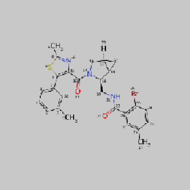 Cc1cccc(-c2sc(C)nc2C(=O)N2C[C@H]3CC3[C@H]2CNC(=O)c2cc(C)ccc2Br)c1